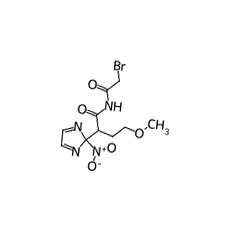 COCCC(C(=O)NC(=O)CBr)C1([N+](=O)[O-])N=CC=N1